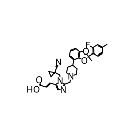 Cc1ccc(C2(C)Oc3cccc(C4CCN(Cc5ncc(/C=C/C(=O)O)n5CC5(C#N)CC5)CC4)c3O2)c(F)c1